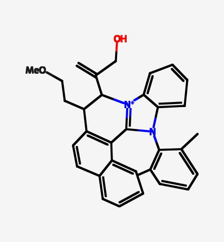 C=C(CO)C1C(CCOC)c2ccc3ccccc3c2-c2n(-c3c(C)cccc3C)c3ccccc3[n+]21